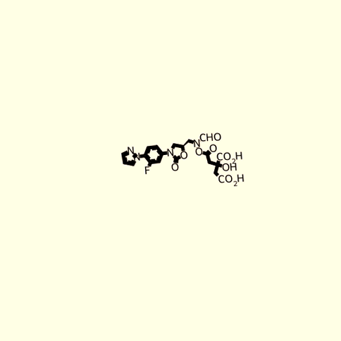 O=CN(C[C@@H]1CN(c2ccc(-n3cccn3)c(F)c2)C(=O)O1)OC(=O)CC(O)(CC(=O)O)C(=O)O